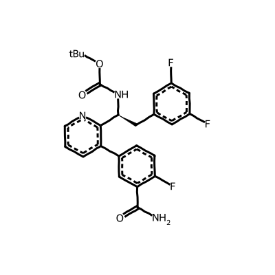 CC(C)(C)OC(=O)N[C@@H](Cc1cc(F)cc(F)c1)c1ncccc1-c1ccc(F)c(C(N)=O)c1